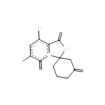 Cc1cc(Br)c(=O)n2c1C(=O)NC21CCCC(=O)C1